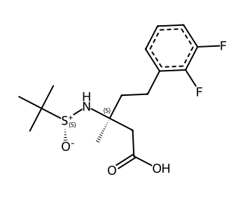 CC(C)(C)[S@@+]([O-])N[C@@](C)(CCc1cccc(F)c1F)CC(=O)O